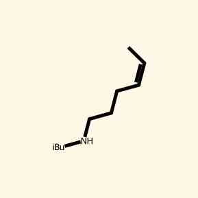 C/C=C\CCCNC(C)CC